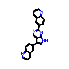 c1cnc2ccc(-c3ncc4c(-c5ccc6ncccc6c5)c[nH]c4n3)cc2c1